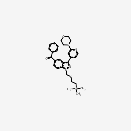 C[Si](C)(C)CCOCn1nc(-c2ccnc(N3CCOCC3)c2)c2cc(C(=O)c3ccccc3)ccc21